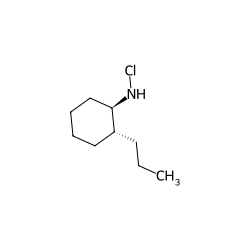 CCC[C@@H]1CCCC[C@H]1NCl